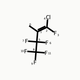 CC(=C(F)Cl)C(F)(F)C(F)(F)F